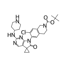 CC(C)(C)OC(=O)N1CCc2cc(N3C(=O)C4(CC4)c4cnc(NC5CCNCC5)nc43)c(Cl)cc2C1